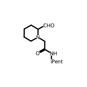 CCCC(C)NC(=O)CN1CCCCC1C=O